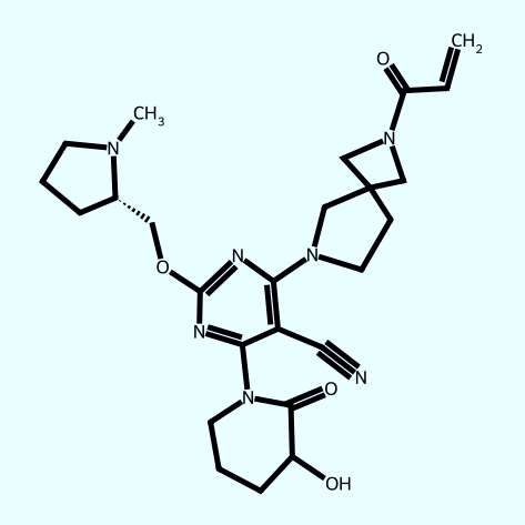 C=CC(=O)N1CC2(CCN(c3nc(OC[C@@H]4CCCN4C)nc(N4CCCC(O)C4=O)c3C#N)C2)C1